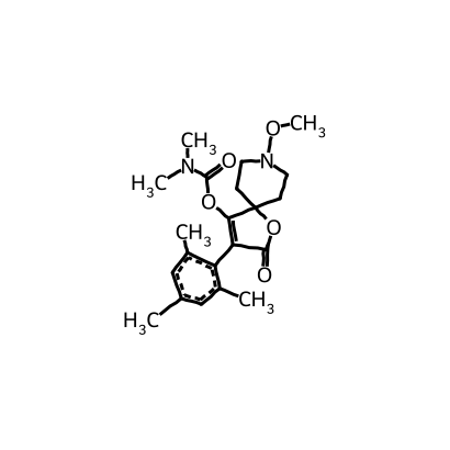 CON1CCC2(CC1)OC(=O)C(c1c(C)cc(C)cc1C)=C2OC(=O)N(C)C